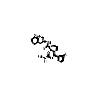 CCCCNC(=O)O[C@@H](c1cccc(Cl)c1)[C@@H]1CCCN(C(=O)N[C@H](CNC)CC2CCCCC2)C1